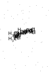 Cc1nn(C)c(Cl)c1S(=O)(=O)NC[C@H](O)CN1CCC(Oc2ccc(Cl)c(Cl)c2)CC1